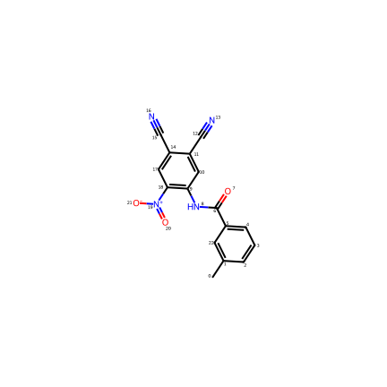 Cc1cccc(C(=O)Nc2cc(C#N)c(C#N)cc2[N+](=O)[O-])c1